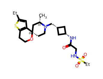 CCc1cc2c(s1)CCO[C@@]21CCN(C[C@H]2C[C@@H](NC(=O)CNS(=O)(=O)CC)C2)[C@@H](C)C1